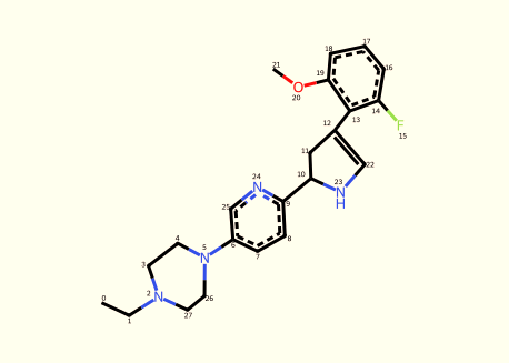 CCN1CCN(c2ccc(C3CC(c4c(F)cccc4OC)=CN3)nc2)CC1